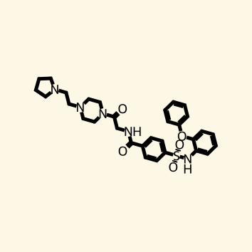 O=C(NCC(=O)N1CCN(CCN2CCCC2)CC1)c1ccc(S(=O)(=O)Nc2ccccc2Oc2ccccc2)cc1